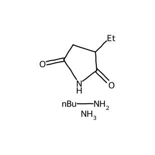 CCC1CC(=O)NC1=O.CCCCN.N